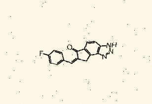 O=C1C(=Cc2ccc(F)cc2)Cc2c1ccc1[nH]nnc21